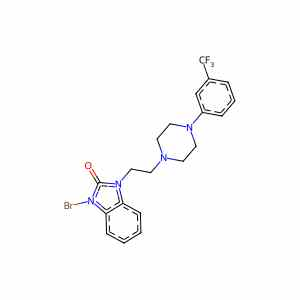 O=c1n(Br)c2ccccc2n1CCN1CCN(c2cccc(C(F)(F)F)c2)CC1